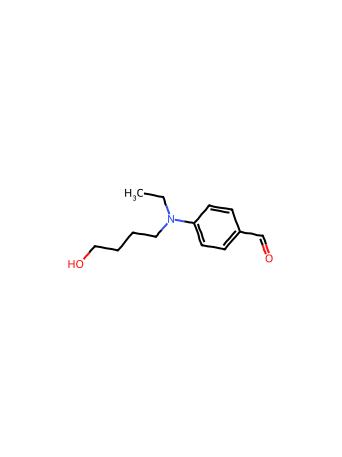 CCN(CCCCO)c1ccc(C=O)cc1